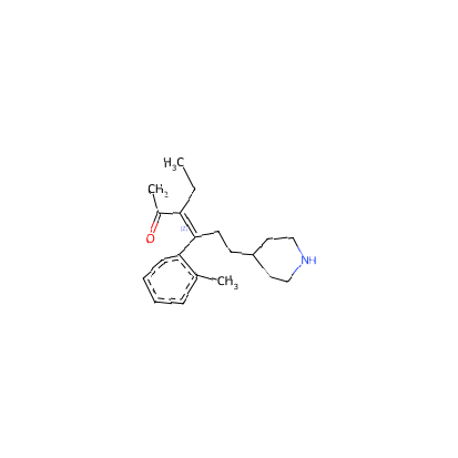 CC/C(C(C)=O)=C(\CCC1CCNCC1)c1ccccc1C